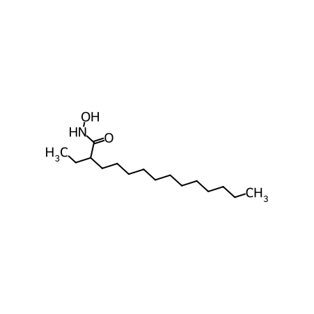 CCCCCCCCCCCCC(CC)C(=O)NO